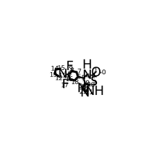 COC(=S)NC(c1cc(F)c(-n2cccc2)c(F)c1)c1c[nH]nn1